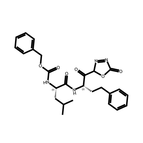 CC(C)C[C@H](NC(=O)OCc1ccccc1)C(=O)N[C@@H](CCc1ccccc1)C(=O)C1N=NC(=O)O1